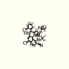 CC(C)(C)CNc1c(C#N)cnc2c(Cl)cc(NC(c3cn(CC4(F)COC4)nn3)c3ccccc3Cl)cc12